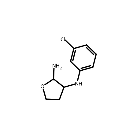 N[C]1OCCC1Nc1cccc(Cl)c1